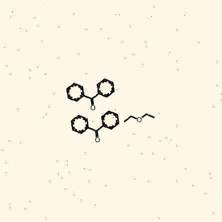 CCOCC.O=C(c1ccccc1)c1ccccc1.O=C(c1ccccc1)c1ccccc1